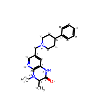 CC1C(=O)Nc2cc(CN3CCC(c4ccccc4)CC3)cnc2N1C